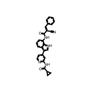 N#CC(=Cc1ccccc1)C(=O)Nc1cccc2c(-c3ccnc(NC(=O)C4CC4)c3)c[nH]c12